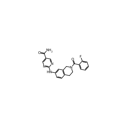 NC(=O)c1cnc(Nc2ccc3c(c2)CN(C(=O)c2ccccc2F)CC3)nc1